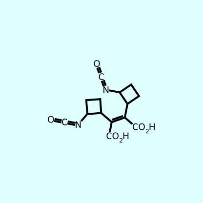 O=C=NC1CCC1C(C(=O)O)=C(C(=O)O)C1CCC1N=C=O